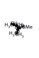 COC(=O)/C=C/c1cccc(N(CC2CCC(c3ccc(N(C)C)cc3)CC2C)C(=O)C2CCC(OCCN(C)C)CC2)c1